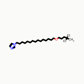 CCC(C)(CC)CCCOCCCCCCCCCCCCCCCn1ccnc1